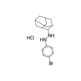 Brc1ccc(NNC2C3CC4CC(C3)CC2C4)cc1.Cl